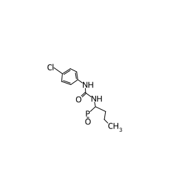 CCCC(NC(=O)Nc1ccc(Cl)cc1)P=O